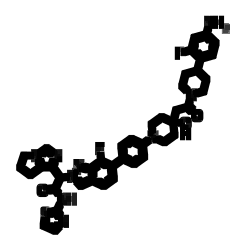 Nc1ccc(C2CCN(C(=O)CC3(O)CCN(c4ccc(-c5ccc6cn(C(C(=O)Nc7nccs7)c7ncn8c7CCC8)nc6c5F)cc4)CC3)CC2)c(F)c1